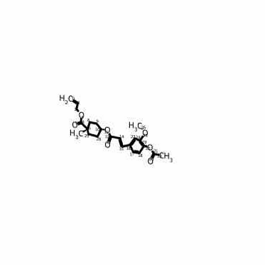 C=CCOC(=O)[C@]1(C)CC[C@@H](OC(=O)C=Cc2ccc(OC(C)=O)c(OC)c2)CC1